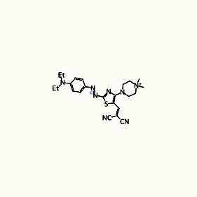 CCN(CC)c1ccc(/N=N/c2nc(N3CC[N+](C)(C)CC3)c(C=C(C#N)C#N)s2)cc1